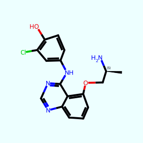 C[C@H](N)COc1cccc2ncnc(Nc3ccc(O)c(Cl)c3)c12